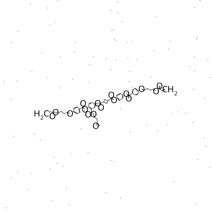 C=CC(=O)OCCCCOc1ccc(C(=O)Oc2ccc(OC(=O)C3CC(C(=O)Oc4ccc(OC(=O)c5ccc(OCCCCOC(=O)C=C)cc5)c(C(=O)OCCC5CO5)c4)C3)cc2)cc1